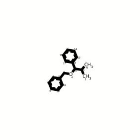 CC(C)C(OCc1ccccc1)c1ccccc1